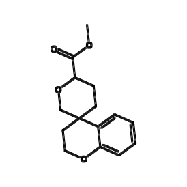 COC(=O)C1CCC2(CCOc3ccccc32)CO1